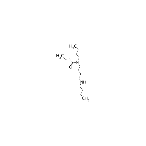 CCCCNCCCCN(CCCC)C(=O)CCC